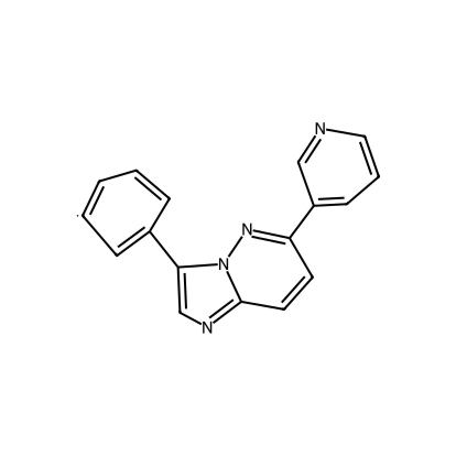 [c]1cccc(-c2cnc3ccc(-c4cccnc4)nn23)c1